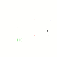 C[C@H](N)C(=O)OC1CC2(CCC2)C1.Cl